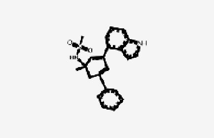 CC1(NS(C)(=O)=O)C=C(c2cccc3[nH]ccc23)C=C(c2ccccc2)C1